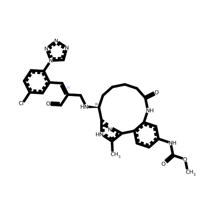 COC(=O)Nc1ccc2c(c1)NC(=O)CCCC[C@H](NC/C(C=O)=C/c1cc(Cl)ccc1-n1cnnn1)c1nc-2c(C)[nH]1